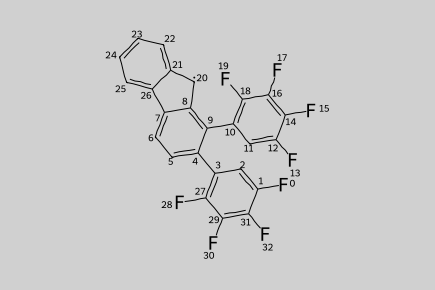 Fc1cc(-c2ccc3c(c2-c2cc(F)c(F)c(F)c2F)[CH]c2ccccc2-3)c(F)c(F)c1F